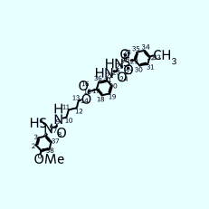 COc1ccc(N(S)C(=O)NCCCCOC(=O)c2cccc(NC(=O)NS(=O)(=O)c3ccc(C)cc3)c2)cc1